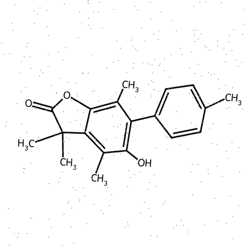 Cc1ccc(-c2c(C)c3c(c(C)c2O)C(C)(C)C(=O)O3)cc1